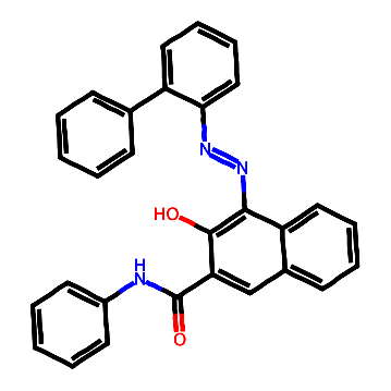 O=C(Nc1ccccc1)c1cc2ccccc2c(/N=N/c2ccccc2-c2ccccc2)c1O